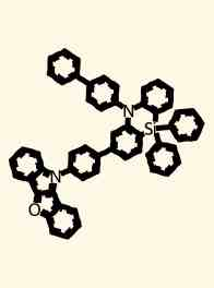 c1ccc(-c2ccc(N3c4ccccc4[Si](c4ccccc4)(c4ccccc4)c4ccc(-c5ccc(-n6c7ccccc7c7oc8ccccc8c76)cc5)cc43)cc2)cc1